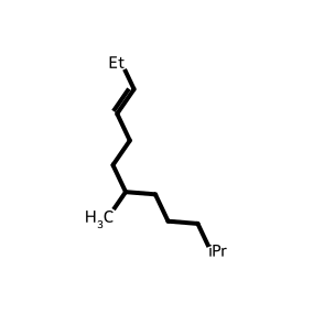 CCC=CCCC(C)CCCC(C)C